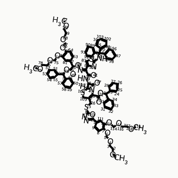 COCCOCOc1ccc(-c2nnc(SCC3=C(C(=O)OC(c4ccccc4)c4ccccc4)N4C(=O)[C@@H](NC(=O)C(=NOC(C(=O)OC(c5ccccc5)c5ccccc5)c5ccc(OCOCCOC)c(OCOCCOC)c5)c5csc(NC(c6ccccc6)(c6ccccc6)c6ccccc6)n5)[C@@H]4SC3)o2)cc1OCOCCOC